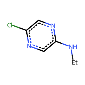 CCNc1cnc(Cl)cn1